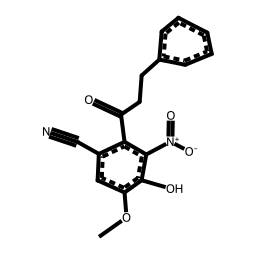 COc1cc(C#N)c(C(=O)CCc2ccccc2)c([N+](=O)[O-])c1O